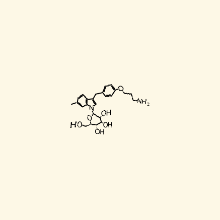 Cc1ccc2c(Cc3ccc(OCCCN)cc3)cn([C@@H]3O[C@H](CO)[C@@H](O)[C@H](O)[C@H]3O)c2c1